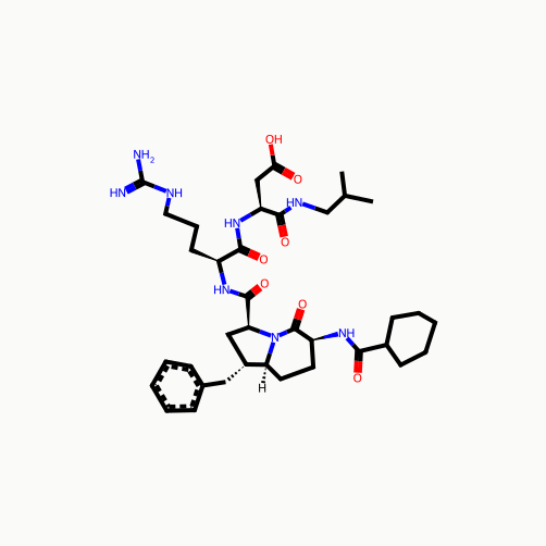 CC(C)CNC(=O)[C@H](CC(=O)O)NC(=O)[C@H](CCCNC(=N)N)NC(=O)[C@@H]1C[C@@H](Cc2ccccc2)[C@@H]2CC[C@H](NC(=O)C3CCCCC3)C(=O)N12